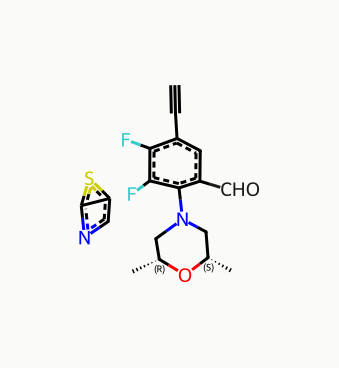 C#Cc1cc(C=O)c(N2C[C@@H](C)O[C@@H](C)C2)c(F)c1F.c1nc2sc1-2